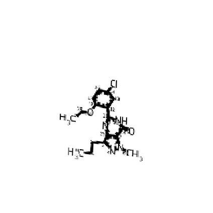 CCCc1nn(C)c2c(=O)[nH]c(-c3cc(Cl)ccc3OCC)nc12